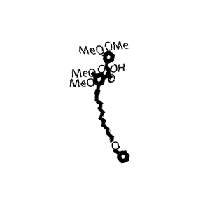 COc1ccc(-c2oc3c(OC)c(OC)c(C#CCCCCCCCCCCCOCc4ccccc4)cc3c(=O)c2O)cc1OC